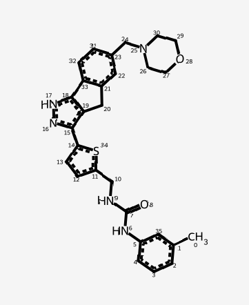 Cc1cccc(NC(=O)NCc2ccc(-c3n[nH]c4c3Cc3cc(CN5CCOCC5)ccc3-4)s2)c1